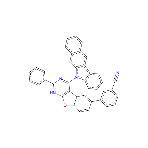 N#Cc1cccc(C2=CC3C4=C(NC(c5ccccc5)N=C4n4c5ccccc5c5cc6ccccc6cc54)OC3C=C2)c1